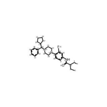 CCC(CC)C(=O)Nc1ccc(N2CCN(C(c3ccccc3)C3CCCC3)CC2)c(F)c1